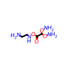 NCCNOC(=O)C(ON)ON